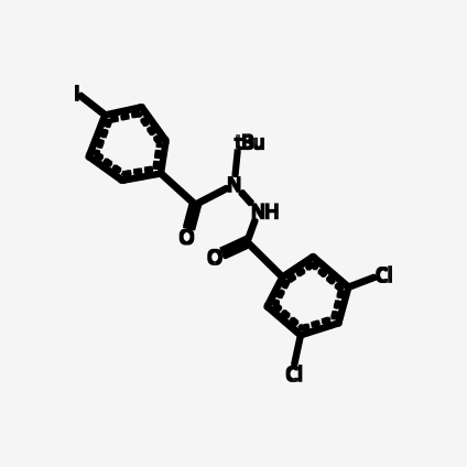 CC(C)(C)N(NC(=O)c1cc(Cl)cc(Cl)c1)C(=O)c1ccc(I)cc1